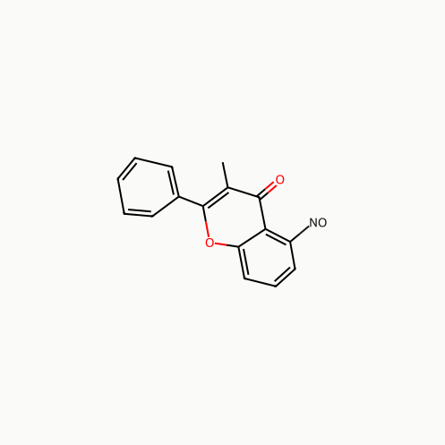 Cc1c(-c2ccccc2)oc2cccc(N=O)c2c1=O